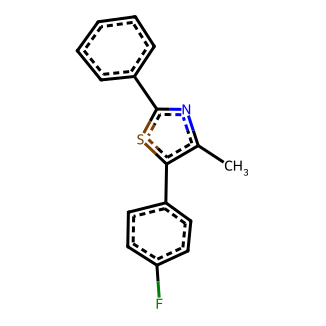 Cc1nc(-c2ccccc2)sc1-c1ccc(F)cc1